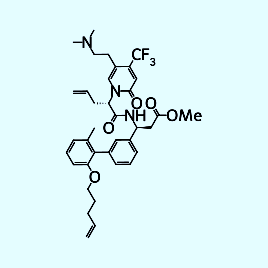 C=CCCCOc1cccc(C)c1-c1cccc([C@H](CC(=O)OC)NC(=O)[C@H](CC=C)n2cc(CCN(C)C)c(C(F)(F)F)cc2=O)c1